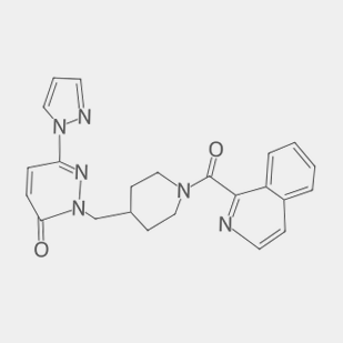 O=C(c1nccc2ccccc12)N1CCC(Cn2nc(-n3cccn3)ccc2=O)CC1